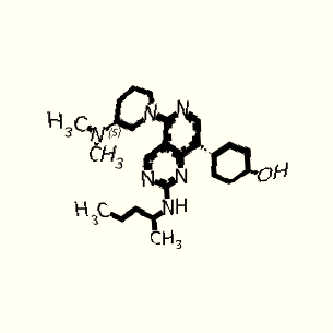 CCCC(C)Nc1ncc2c(N3CCC[C@H](N(C)C)C3)ncc([C@H]3CC[C@H](O)CC3)c2n1